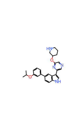 CC(C)Oc1cccc(-c2ccc3[nH]cc(-c4cncc(OC5CCCNC5)n4)c3c2)c1